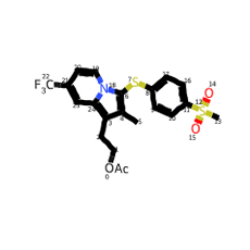 CC(=O)OCCc1c(C)c(Sc2ccc(S(C)(=O)=O)cc2)n2ccc(C(F)(F)F)cc12